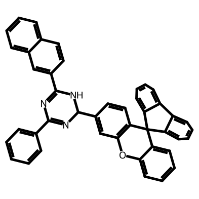 c1ccc(C2=NC(c3ccc4c(c3)Oc3ccccc3C43c4ccccc4-c4ccccc43)NC(c3ccc4ccccc4c3)=N2)cc1